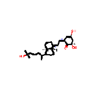 CC(CCCC(C)(C)O)C1CC[C@H]2/C(=C/C=C3/C[C@@H](O)C[C@H](O)C3=O)CCC[C@]12C